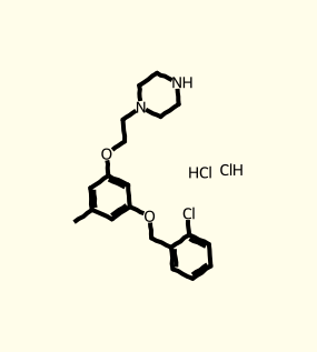 Cc1cc(OCCN2CCNCC2)cc(OCc2ccccc2Cl)c1.Cl.Cl